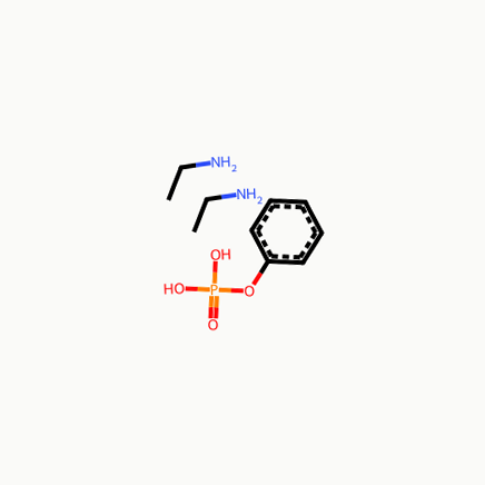 CCN.CCN.O=P(O)(O)Oc1ccccc1